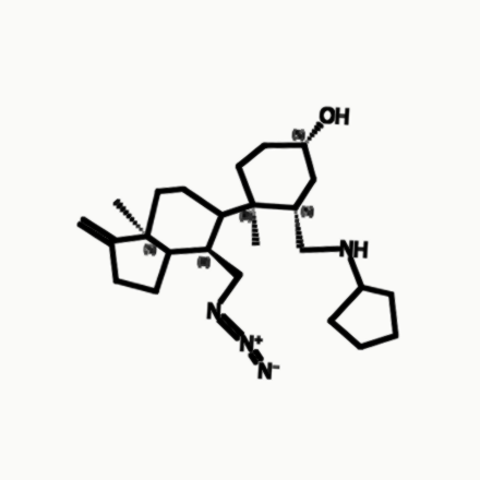 C=C1CCC2[C@H](CN=[N+]=[N-])C([C@@]3(C)CC[C@H](O)C[C@@H]3CNC3CCCC3)CC[C@]12C